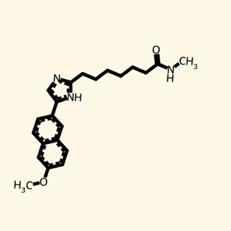 CNC(=O)CCCCCCc1ncc(-c2ccc3cc(OC)ccc3c2)[nH]1